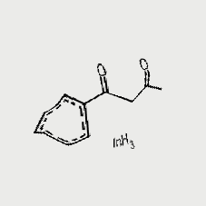 CC(=O)CC(=O)c1ccccc1.[InH3]